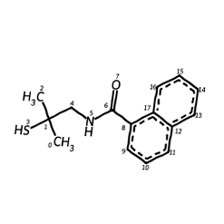 CC(C)(S)CNC(=O)c1cccc2ccccc12